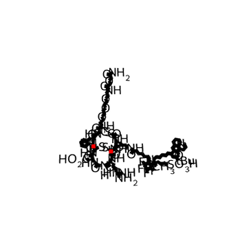 CC(C)(C)C1=C\C(=C/C=C/C=C/C2=[N+](CCCCCC(=O)NCCCC[C@@H]3NC(=O)CSC[C@@H](C(=O)NCCOCCOCCOCCNC(=O)COCC(N)=O)NC(=O)[C@H](Cc4ccccc4)NC(=O)[C@@H]4CSSC[C@H](NC3=O)C(=O)N[C@@H](CCCNC(=N)N)C(=O)NCC(=O)N[C@@H](CC(=O)O)C(=O)N4)c3c(F)c(F)c(F)c(F)c3C2(C)CCCCS(=O)(=O)O)c2cc3c4c(c2O1)CCCN4CCC3